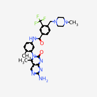 Cc1ccc(NC(=O)c2ccc(CN3CCN(C)CC3)c(C(F)(F)F)c2)cc1-n1c(C)c2cnc(N)nc2nc1=O